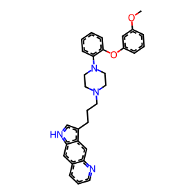 COc1cccc(Oc2ccccc2N2CCN(CCCc3c[nH]c4cc5cccnc5cc34)CC2)c1